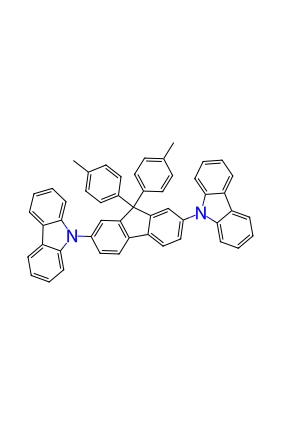 Cc1ccc(C2(c3ccc(C)cc3)c3cc(-n4c5ccccc5c5ccccc54)ccc3-c3ccc(-n4c5ccccc5c5ccccc54)cc32)cc1